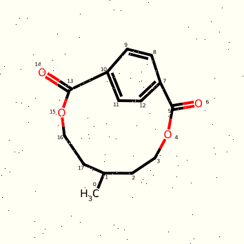 CC1CCOC(=O)c2ccc(cc2)C(=O)OCC1